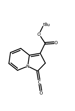 CC(C)(C)OC(=O)C1=C2C=CC=CN2C(=C=O)C1